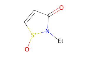 CCn1c(=O)cc[s+]1[O-]